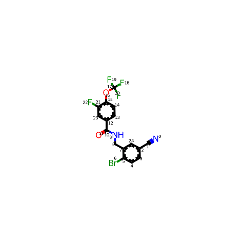 N#Cc1ccc(Br)c(CNC(=O)c2ccc(OC(F)(F)F)c(F)c2)c1